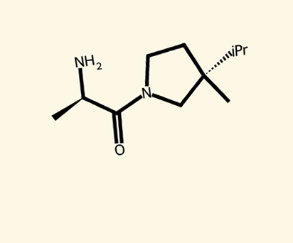 CC(C)[C@@]1(C)CCN(C(=O)[C@@H](C)N)C1